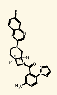 Cc1ccc(-n2cccn2)c(C(=O)N2C[C@H]3CCN(c4cnc5cc(F)ccc5n4)C[C@H]32)c1